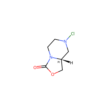 O=C1OC[C@H]2CN(Cl)CCN12